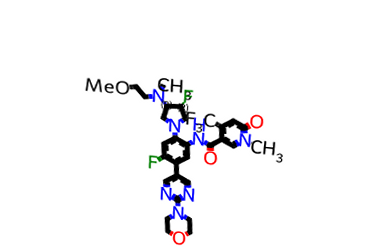 COCCN(C)[C@@H]1CN(c2cc(F)c(-c3cnc(N4CCOCC4)nc3)cc2NC(=O)c2cn(C)c(=O)cc2C(F)(F)F)C[C@H]1F